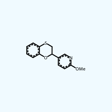 COc1ccc(C2CSc3ccccc3O2)cn1